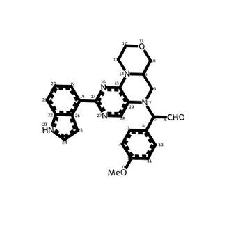 COc1ccc(C(C=O)N2CC3COCCN3c3nc(-c4cccc5[nH]ccc45)ncc32)cc1